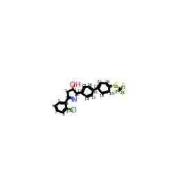 OC1CC(c2ccccc2Cl)=NC1c1ccc(-c2ccc(SC(F)(F)F)cc2)cc1